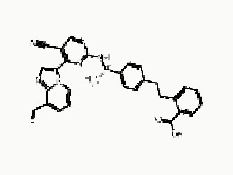 C[C@H](Nc1ncc(C#N)c(-c2cnc3c(CF)cccn23)n1)c1ccc(CCc2ccccc2C(=O)O)cc1